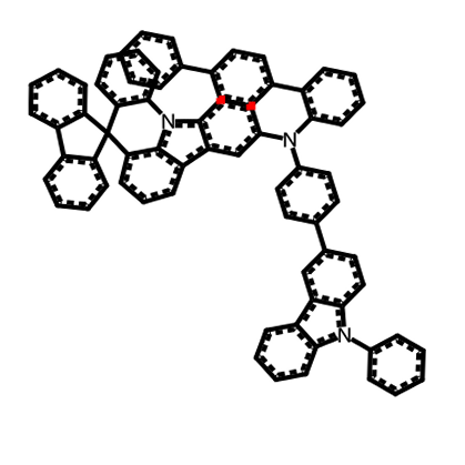 c1ccc(-c2ccc(-c3ccccc3N(c3ccc(-c4ccc5c(c4)c4ccccc4n5-c4ccccc4)cc3)c3ccc4c(c3)c3cccc5c3n4-c3ccccc3C53c4ccccc4-c4ccccc43)cc2)cc1